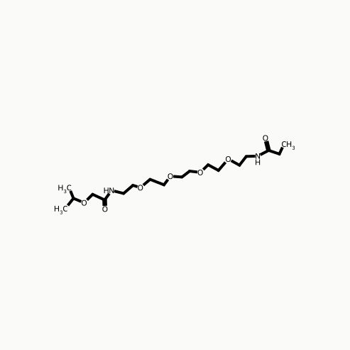 CCC(=O)NCCOCCOCCOCCOCCNC(=O)COC(C)C